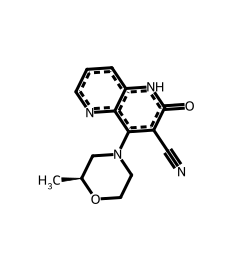 C[C@H]1CN(c2c(C#N)c(=O)[nH]c3cccnc23)CCO1